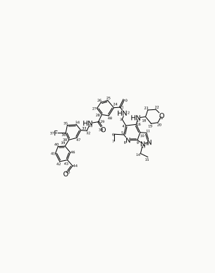 C=C(NCc1c(CC)nc2c(cnn2CC)c1NC1CCOCC1)c1cccc(C(=O)NCc2ccc(F)c(-c3cccc(C=O)c3)c2)c1